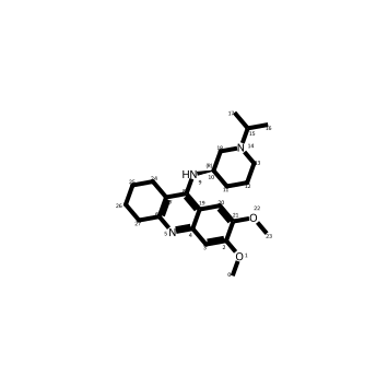 COc1cc2nc3c(c(N[C@@H]4CCCN(C(C)C)C4)c2cc1OC)CCCC3